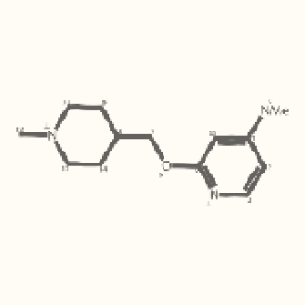 CNc1ccnc(OCC2CCN(C)CC2)c1